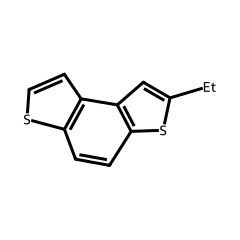 CCc1cc2c(ccc3sccc32)s1